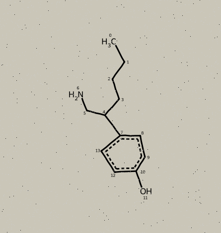 CCCCC(CN)c1ccc(O)cc1